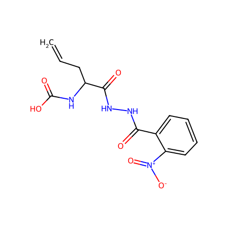 C=CCC(NC(=O)O)C(=O)NNC(=O)c1ccccc1[N+](=O)[O-]